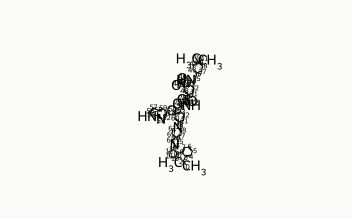 CC(C)c1ccccc1[C@H]1CCCC1N1CC2(CCN(c3ccc(C(=O)NS(=O)(=O)c4ccc(NCC5CCC(C)(C)CC5)c([N+](=O)[O-])c4)c(Oc4cnc5[nH]ccc5c4)c3)CC2)C1